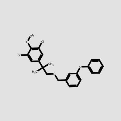 CCCOc1c(Cl)cc(C(C)(C)COCc2cccc(Oc3ccccc3)c2)cc1Br